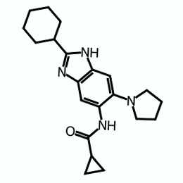 O=C(Nc1cc2nc(C3CCCCC3)[nH]c2cc1N1CCCC1)C1CC1